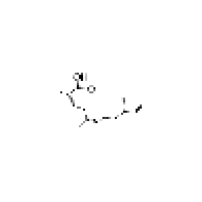 C=CC(=C)CCC=C(C)CC=C(C)C(=O)O